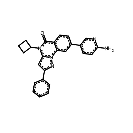 Nc1ccc(-c2ccc3c(=O)n(C4CCC4)c4cc(-c5ccccc5)nn4c3c2)cn1